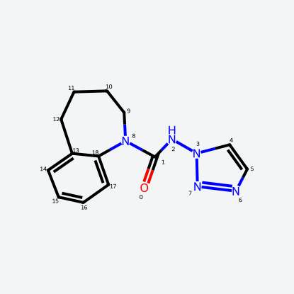 O=C(Nn1ccnn1)N1CCCCc2ccccc21